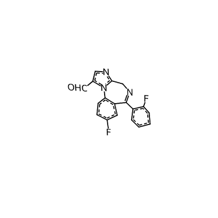 O=Cc1cnc2n1-c1ccc(F)cc1C(c1ccccc1F)=NC2